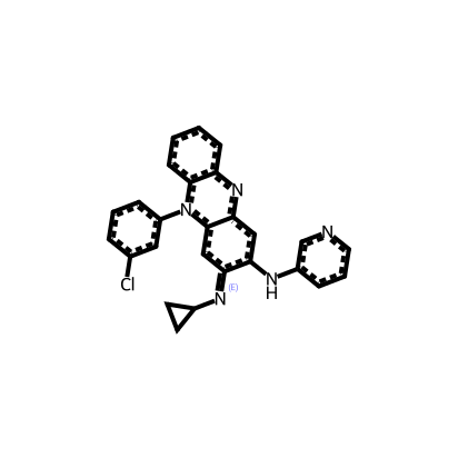 Clc1cccc(-n2c3c/c(=N\C4CC4)c(Nc4cccnc4)cc-3nc3ccccc32)c1